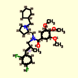 COc1cc(C(=O)N(C/C(C)=C/c2ccc(F)cc2F)C[C@@H]2CCCN2CC2CCCCC2)cc(OC)c1OC